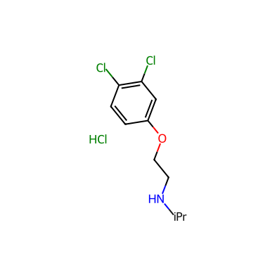 CC(C)NCCOc1ccc(Cl)c(Cl)c1.Cl